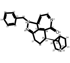 O=c1nccc2c3c(nn2Cc2ccccc2)CC[C@H](C2CN4CCC2CC4)c13